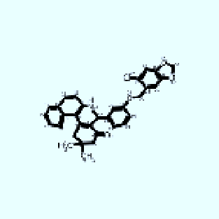 CC1(C)CC(=O)C2=C(C1)c1c(ccc3ccccc13)NC2c1cccc(OCc2cc3c(cc2Cl)OCO3)c1